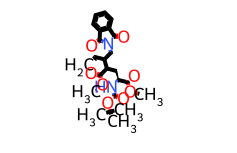 C=CC(CN1C(=O)c2ccccc2C1=O)C(C[C@H](NC(=O)OC(C)(C)C)C(=O)OC)C(=O)OC